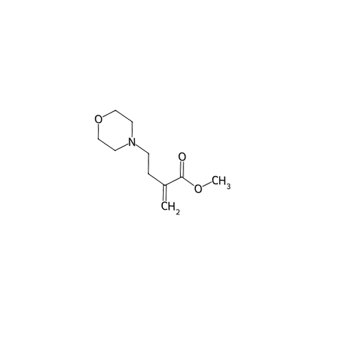 C=C(CCN1CCOCC1)C(=O)OC